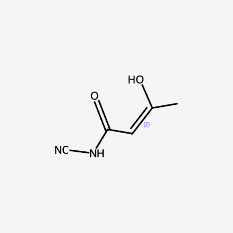 C/C(O)=C/C(=O)NC#N